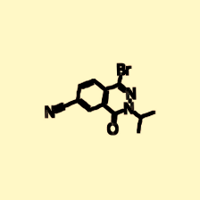 CC(C)n1nc(Br)c2ccc(C#N)cc2c1=O